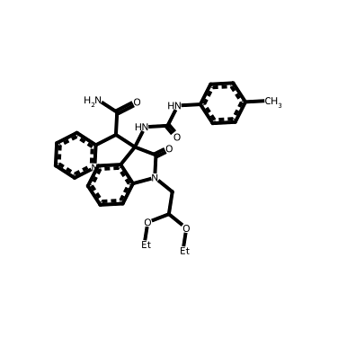 CCOC(CN1C(=O)C(NC(=O)Nc2ccc(C)cc2)(C(C(N)=O)c2ccccn2)c2ccccc21)OCC